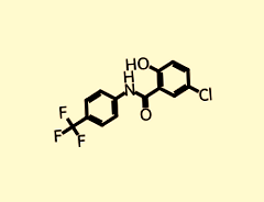 O=C(Nc1ccc(C(F)(F)F)cc1)c1cc(Cl)ccc1O